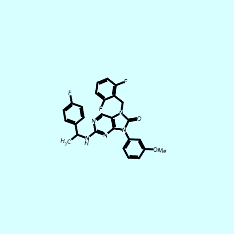 COc1cccc(-n2c(=O)n(Cc3c(F)cccc3F)c3cnc(NC(C)c4ccc(F)cc4)nc32)c1